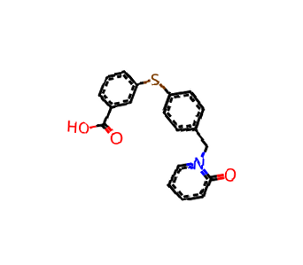 O=C(O)c1cccc(Sc2ccc(Cn3ccccc3=O)cc2)c1